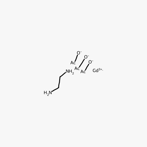 CC(=O)[O-].CC(=O)[O-].CC(=O)[O-].NCCN.[Gd+3]